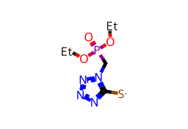 CCOP(=O)(Cn1nnnc1[S])OCC